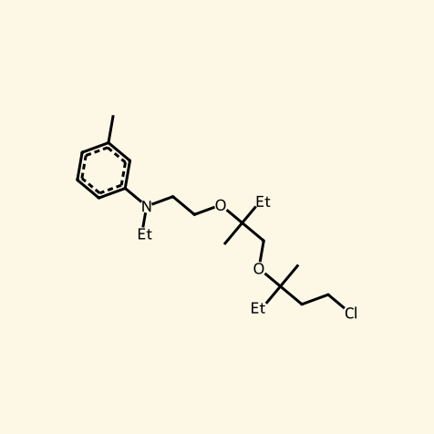 CCN(CCOC(C)(CC)COC(C)(CC)CCCl)c1cccc(C)c1